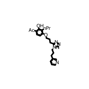 CCCc1c(OCCCc2nnnn2CCCc2cccnc2)ccc(C(C)=O)c1O